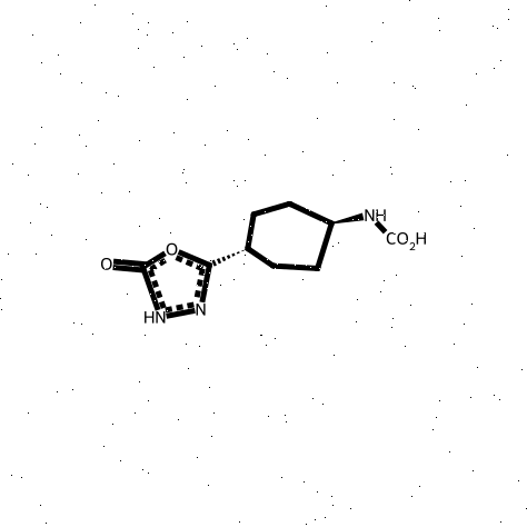 O=C(O)N[C@H]1CC[C@H](c2n[nH]c(=O)o2)CC1